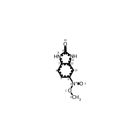 CO[N+](=O)c1ccc2[nH]c(=O)[nH]c2c1